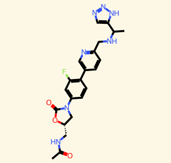 CC(=O)NC[C@H]1CN(c2ccc(-c3ccc(CNC(C)c4cnn[nH]4)nc3)c(F)c2)C(=O)O1